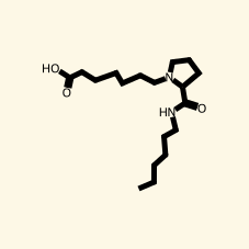 CCCCCCNC(=O)C1CCCN1CCCCCCC(=O)O